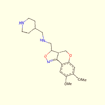 COc1cc2c(cc1OC)C1=NOC(CNCC3CCNCC3)C1CO2